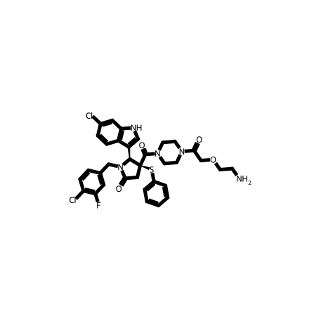 NCCOCC(=O)N1CCN(C(=O)[C@]2(Sc3ccccc3)CC(=O)N(Cc3ccc(Cl)c(F)c3)[C@H]2c2c[nH]c3cc(Cl)ccc23)CC1